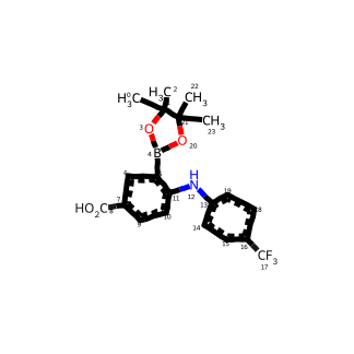 CC1(C)OB(c2cc(C(=O)O)ccc2Nc2ccc(C(F)(F)F)cc2)OC1(C)C